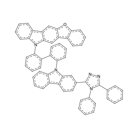 c1ccc(-c2nnc(-c3ccc4c5ccccc5n(-c5ccccc5-c5ccccc5-n5c6ccccc6c6cc7oc8ccccc8c7cc65)c4c3)n2-c2ccccc2)cc1